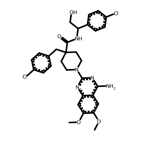 COc1cc2nc(N3CCC(Cc4ccc(Cl)cc4)(C(=O)NC(CO)c4ccc(Cl)cc4)CC3)nc(N)c2cc1OC